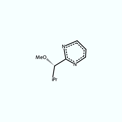 CO[C@H](c1ncccn1)C(C)C